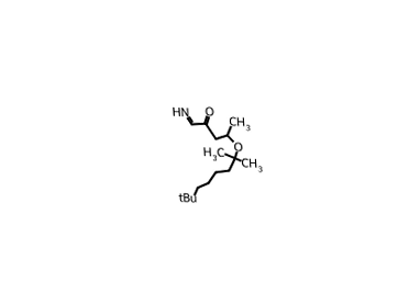 CC(CC(=O)C=N)OC(C)(C)CCCCC(C)(C)C